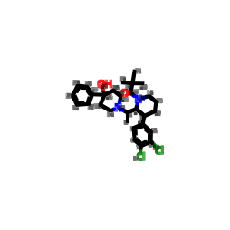 CC(C1C(c2ccc(Cl)c(Cl)c2)CCCN1C(=O)C(C)(C)C)N1CCC(O)(c2ccccc2)CC1